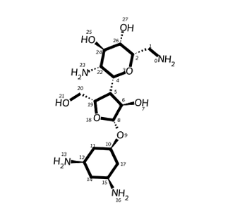 NC[C@@H]1O[C@H](C2[C@@H](O)[C@H](O[C@@H]3C[C@H](N)C[C@H](N)C3)O[C@@H]2CO)[C@H](N)[C@@H](O)[C@@H]1O